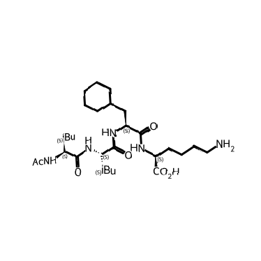 CC[C@H](C)[C@H](NC(C)=O)C(=O)N[C@H](C(=O)N[C@@H](CC1CCCCC1)C(=O)N[C@@H](CCCCN)C(=O)O)[C@@H](C)CC